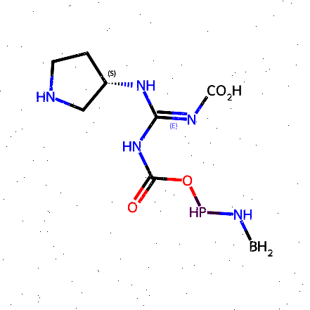 BNPOC(=O)N/C(=N/C(=O)O)N[C@H]1CCNC1